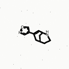 C1=C(c2cnoc2)CC2CCNC1C2